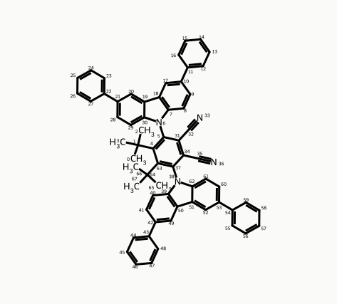 CC(C)(C)c1c(-n2c3ccc(-c4ccccc4)cc3c3cc(-c4ccccc4)ccc32)c(C#N)c(C#N)c(-n2c3ccc(-c4ccccc4)cc3c3cc(-c4ccccc4)ccc32)c1C(C)(C)C